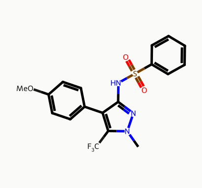 COc1ccc(-c2c(NS(=O)(=O)c3ccccc3)nn(C)c2C(F)(F)F)cc1